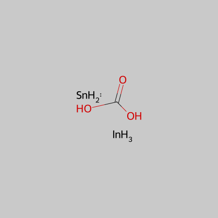 O=C(O)O.[InH3].[SnH2]